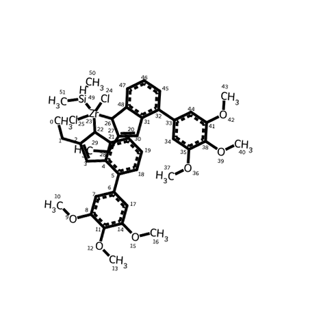 CCC1=Cc2c(-c3cc(OC)c(OC)c(OC)c3)cccc2[CH]1[Zr]([Cl])([Cl])([CH]1C(CC)=Cc2c(-c3cc(OC)c(OC)c(OC)c3)cccc21)[SiH](C)C